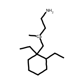 CCC1CCCCC1(CC)[CH2][Ga]([CH3])[CH2]CN